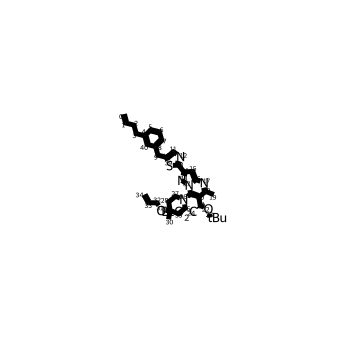 C=CCCc1cccc(Cc2cnc(-c3cc4nc(C)c([C@H](OC(C)(C)C)C(=O)OCC)c(N5CCC(C)(OCC=C)CC5)n4n3)s2)c1